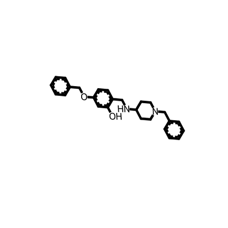 Oc1cc(OCc2ccccc2)ccc1CNC1CCN(Cc2ccccc2)CC1